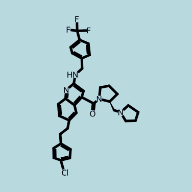 O=C(c1cc(NCc2ccc(C(F)(F)F)cc2)nc2ccc(CCc3ccc(Cl)cc3)cc12)N1CCC[C@H]1CN1CCCC1